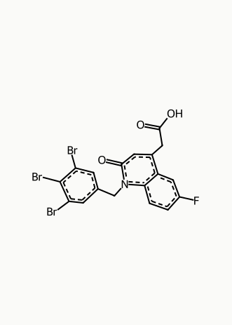 O=C(O)Cc1cc(=O)n(Cc2cc(Br)c(Br)c(Br)c2)c2ccc(F)cc12